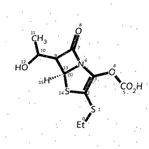 CCSC1=C(OC(=O)O)N2C(=O)C(C(C)O)[C@@H]2S1